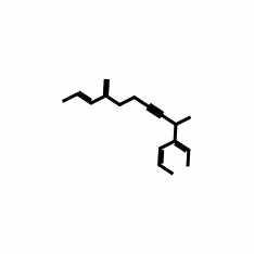 C=C(/C=C/C)CCC#CC(C)C(/C=C\C)=C/C